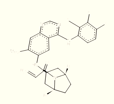 C=CC(=O)N1[C@@H]2CC[C@H]1CC(Nc1cc3c(Nc4ccc(Cl)c(Cl)c4F)ncnc3cc1OC)C2